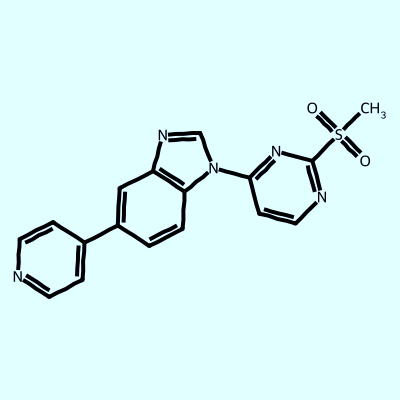 CS(=O)(=O)c1nccc(-n2cnc3cc(-c4ccncc4)ccc32)n1